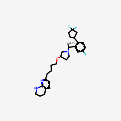 O=C(O)C(c1cc(F)ccc1C1CCC(F)(F)C1)N1CC[C@@H](OCCCCc2ccc3c(n2)NCCC3)C1